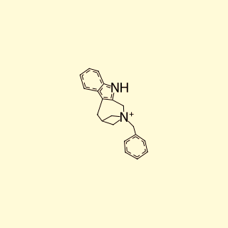 c1ccc(C[N+]23Cc4[nH]c5ccccc5c4CC(C2)C3)cc1